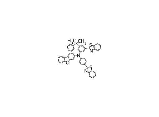 CC1(C)c2ccccc2-c2c(N(c3ccc(-c4nc5ccccc5s4)cc3)c3ccc4c(c3)oc3ccccc34)cc(-c3nc4ccccc4s3)cc21